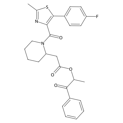 Cc1nc(C(=O)N2CCCCC2CC(=O)OC(C)C(=O)c2ccccc2)c(-c2ccc(F)cc2)s1